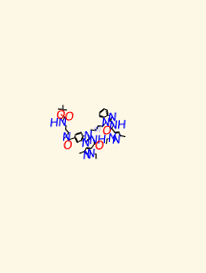 CCn1nc(C)cc1C(=O)Nc1nc2ccccc2n1C/C=C/Cn1c(NC(=O)c2cc(C)nn2CC)nc2cc(C(=O)N(C)CCCNC(=O)OC(C)(C)C)ccc21